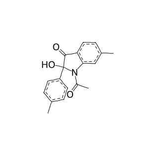 CC(=O)N1c2cc(C)ccc2C(=O)C1(O)c1ccc(C)cc1